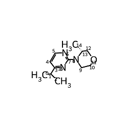 CC(C)c1ccnc(N2CCOC[C@H]2C)n1